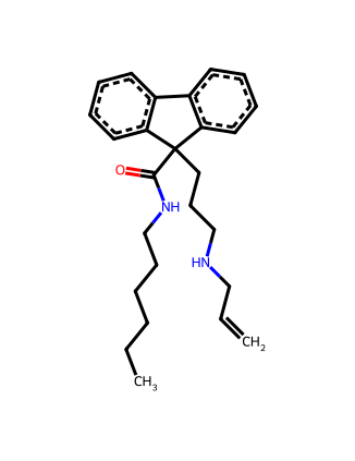 C=CCNCCCC1(C(=O)NCCCCCC)c2ccccc2-c2ccccc21